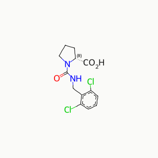 O=C(O)[C@H]1CCCN1C(=O)NCc1c(Cl)cccc1Cl